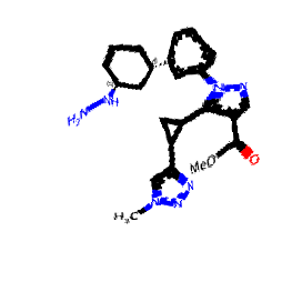 COC(=O)c1cnn(-c2cccc([C@H]3CCC[C@H](NN)C3)c2)c1C1CC1c1cn(C)nn1